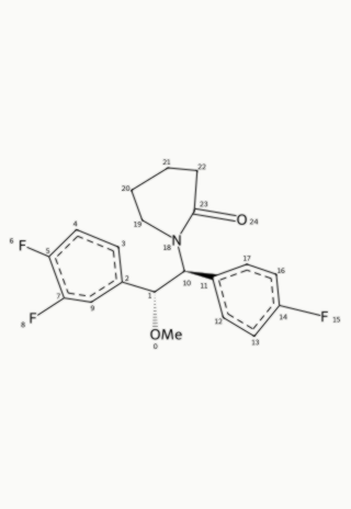 CO[C@H](c1ccc(F)c(F)c1)[C@H](c1ccc(F)cc1)N1CCCCC1=O